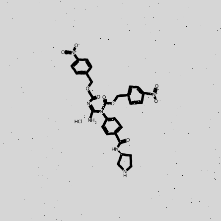 Cl.N/C(=N/C(=O)OCc1ccc([N+](=O)[O-])cc1)N(C(=O)OCc1ccc([N+](=O)[O-])cc1)c1ccc(C(=O)N[C@H]2CCNC2)cc1